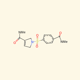 CNC(=O)C1=CCN(S(=O)(=O)c2ccc(C(=O)NC)cc2)C1